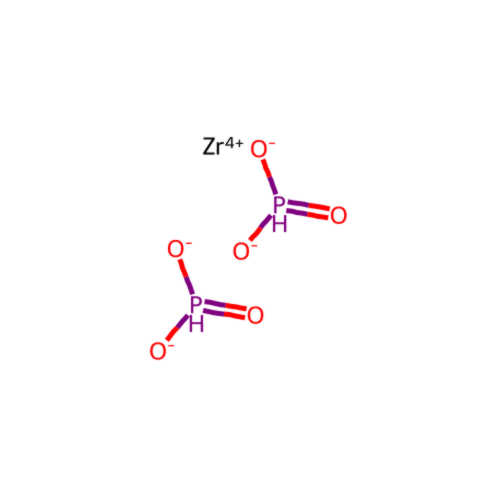 O=[PH]([O-])[O-].O=[PH]([O-])[O-].[Zr+4]